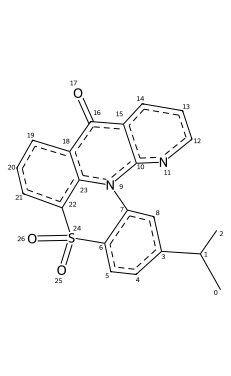 CC(C)c1ccc2c(c1)-n1c3ncccc3c(=O)c3cccc(c31)S2(=O)=O